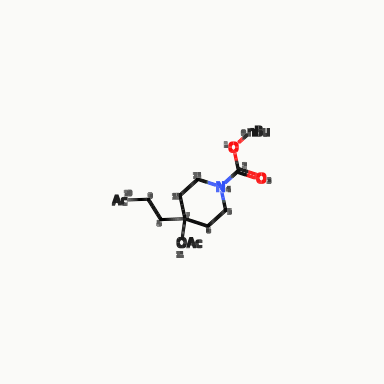 CCCCOC(=O)N1CCC(CCC(C)=O)(OC(C)=O)CC1